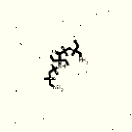 CCC(C)(CN)CC(C)(C)C(=O)C(CC)(CC)NC(C)(C)CC(C)(C)CN